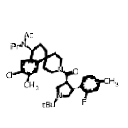 CC(=O)N(C(C)C)[C@H]1CCC2(CCN(C(=O)[C@@H]3CN(C(C)(C)C)C[C@H]3c3ccc(C)cc3F)CC2)c2cc(C)c(Cl)cc21